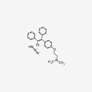 CCC(=C(c1ccccc1)c1ccc(OCCN(C)C)cc1)c1ccccc1.[N-]=[N+]=N